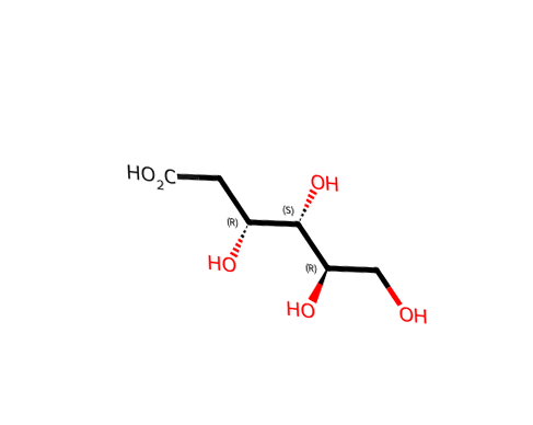 O=C(O)C[C@@H](O)[C@H](O)[C@H](O)CO